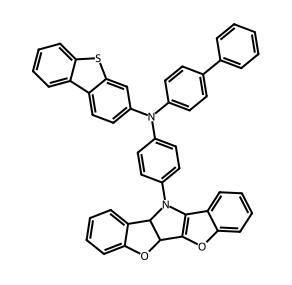 c1ccc(-c2ccc(N(c3ccc(N4c5c(oc6ccccc56)C5Oc6ccccc6C54)cc3)c3ccc4c(c3)sc3ccccc34)cc2)cc1